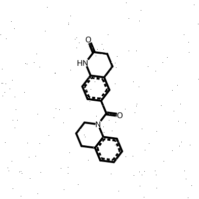 O=C1CCc2cc(C(=O)N3CCCc4ccccc43)ccc2N1